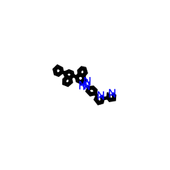 c1ccc(-c2ccc(-c3cc4nn(-c5ccc(-c6cccc(-c7cccnc7)n6)cc5)nc4c4ccccc34)c3ccccc23)cc1